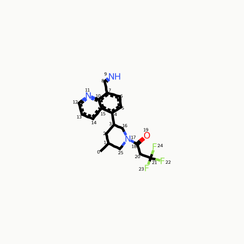 CC1CC(c2ccc(C=N)c3ncccc23)CN(C(=O)CC(F)(F)F)C1